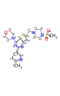 Cc1ccc(-c2nc(N3CCOCC3)c3sc(CN4CCN(S(C)(=O)=O)CC4)cc3n2)cn1